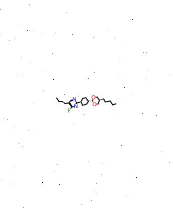 CCCCC[C@H]1CO[C@H](C2CCC(c3ncc(CCCC)c(F)n3)CC2)OC1